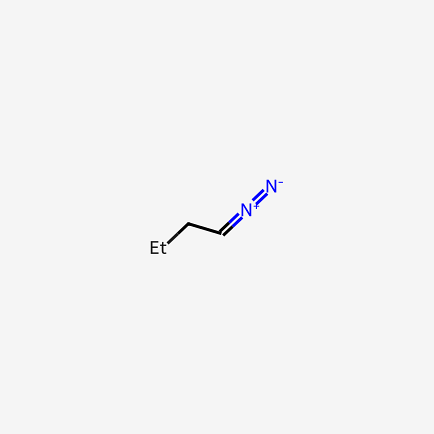 CCCC=[N+]=[N-]